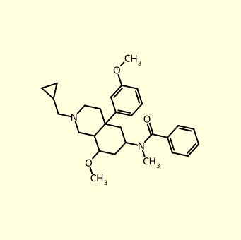 COc1cccc(C23CCN(CC4CC4)CC2C(OC)CC(N(C)C(=O)c2ccccc2)C3)c1